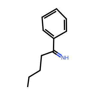 CCCCC(=N)c1ccccc1